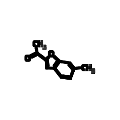 CC(=O)c1cc2ccc(C)cc2o1